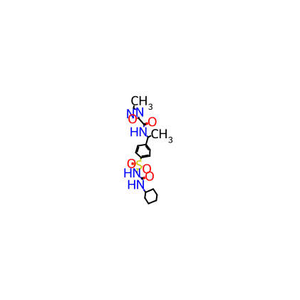 Cc1noc(C(=O)NC(C)c2ccc(S(=O)(=O)NC(=O)NC3CCCCC3)cc2)n1